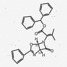 CC(C)=C(C(=O)OC(c1ccccc1)c1ccccc1)N1C(=O)[C@@H]2N=C(c3ccccc3)O[C@@H]21